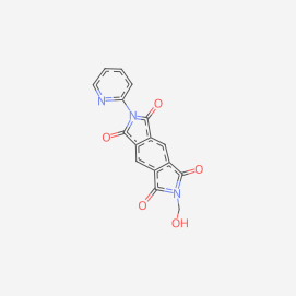 O=c1c2cc3c(=O)n(-c4ccccn4)c(=O)c3cc2c(=O)n1CO